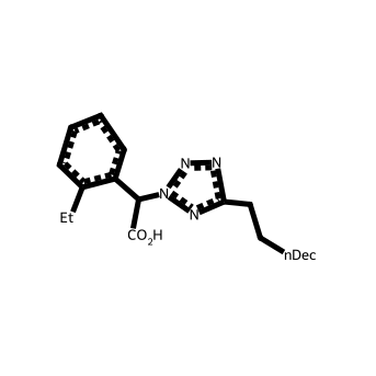 CCCCCCCCCCCCc1nnn(C(C(=O)O)c2ccccc2CC)n1